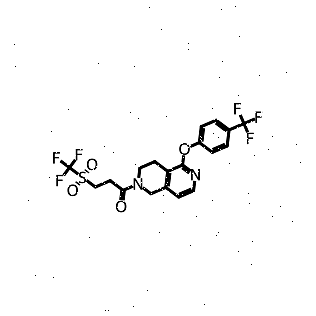 O=C(CCS(=O)(=O)C(F)(F)F)N1CCc2c(ccnc2Oc2ccc(C(F)(F)F)cc2)C1